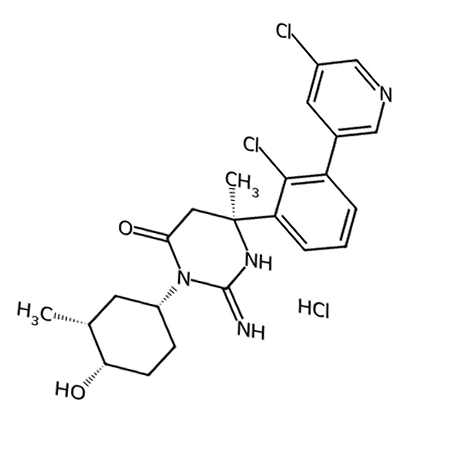 C[C@@H]1C[C@H](N2C(=N)N[C@](C)(c3cccc(-c4cncc(Cl)c4)c3Cl)CC2=O)CC[C@@H]1O.Cl